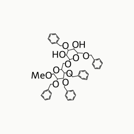 CO[C@H]1OC(CO[C@@H]2OC(COCc3ccccc3)[C@@H](O)C(OCc3ccccc3)C2O)[C@@H](OCc2ccccc2)C(OCc2ccccc2)C1OCc1ccccc1